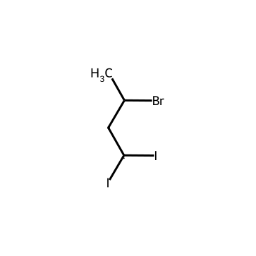 CC(Br)C[C](I)I